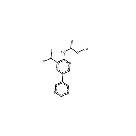 CC(C)(C)OC(=O)Nc1ncc(-c2cncnc2)nc1C(F)F